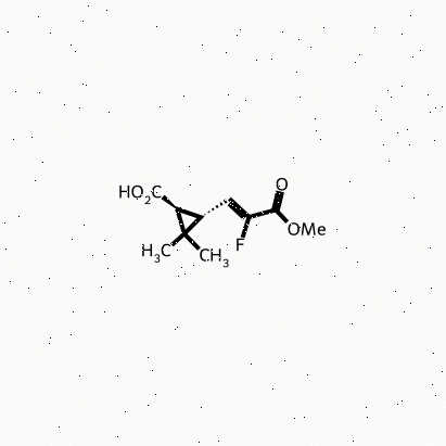 COC(=O)C(F)=C[C@H]1[C@H](C(=O)O)C1(C)C